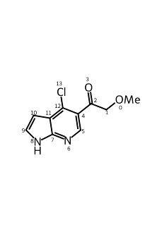 COCC(=O)c1cnc2[nH]ccc2c1Cl